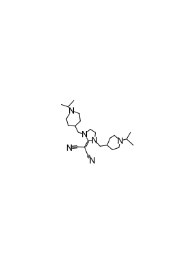 CC(C)N1CCC(CN2CCN(CC3CCN(C(C)C)CC3)C2=C(C#N)C#N)CC1